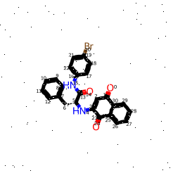 O=C1C=C(N[C@H](Cc2ccccc2)C(=O)Nc2ccc(Br)cc2)C(=O)c2ccccc21